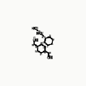 C1CCCCC1.CO.CO.OCC1CCC(CO)CC1